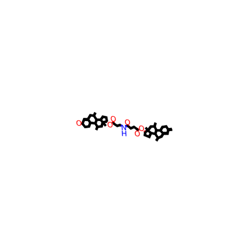 C=C1C=C2CC(C)C3C(C(C)CC4(C)C(OC(=O)CCC(=O)NCCC(=O)OC5CCC6C7C(C)CC8=CC(=O)CCC8C7C(C)CC56C)CCC34)C2CC1